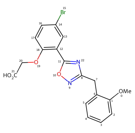 COc1ccccc1Cc1noc(-c2cc(Br)ccc2OCC(=O)O)n1